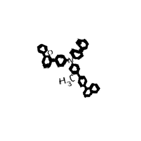 Cc1cc(N(c2ccc(-c3ccccc3)cc2)c2ccc(-c3cccc4c3oc3ccccc34)cc2)ccc1-c1ccc(-c2cccc3ccccc23)cc1